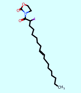 CCCCCCCCC=CCCCCCCC(I)C(=O)N1CCOC1=O